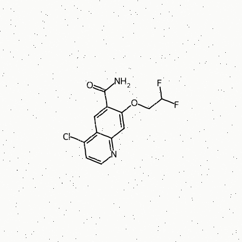 NC(=O)c1cc2c(Cl)ccnc2cc1OCC(F)F